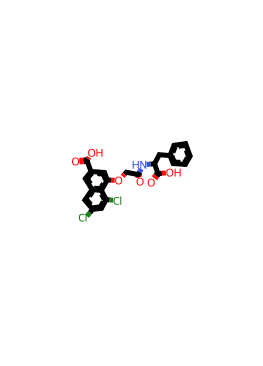 O=C(COc1cc(C(=O)O)cc2cc(Cl)cc(Cl)c12)NC(Cc1ccccc1)C(=O)O